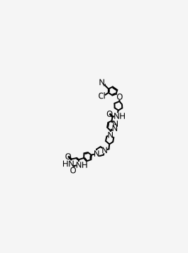 N#Cc1ccc(OC2CCC(NC(=O)c3ccc(N4CCC(CN5CCN(c6ccc(-c7cc(=O)[nH]c(=O)[nH]7)cc6)CC5)CC4)nn3)CC2)cc1Cl